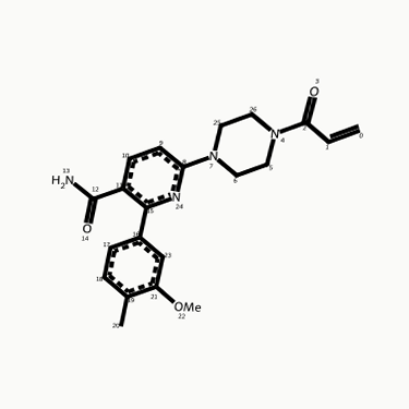 C=CC(=O)N1CCN(c2ccc(C(N)=O)c(-c3ccc(C)c(OC)c3)n2)CC1